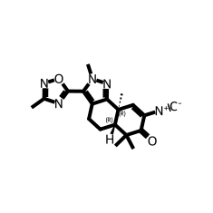 [C-]#[N+]C1=C[C@]2(C)c3nn(C)c(-c4nc(C)no4)c3CC[C@H]2C(C)(C)C1=O